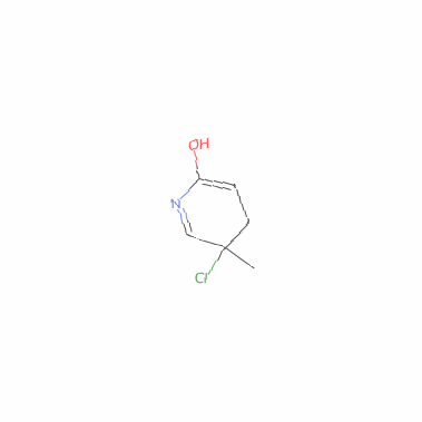 CC1(Cl)C=NC(O)=CC1